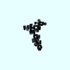 [2H]C([2H])(C1CCOCC1)N1C[C@H]2CC(Nc3nnc(-c4cc(F)cc(F)c4F)cc3C(C)(F)F)C[C@H]2C1